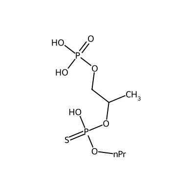 CCCOP(O)(=S)OC(C)COP(=O)(O)O